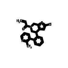 C=CC(=O)N1Cc2sc(Cl)cc2C(c2ccccc2-c2cccnc2C(F)(F)F)C1